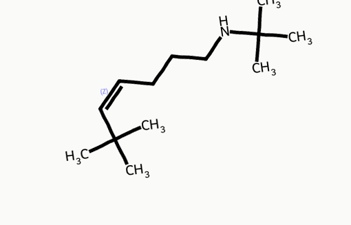 CC(C)(C)/C=C\CCCNC(C)(C)C